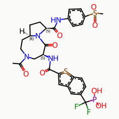 CC(=O)N1CC[C@H]2CC[C@@H](C(=O)Nc3ccc(S(C)(=O)=O)cc3)N2C(=O)[C@@H](NC(=O)c2cc3cc(C(F)(F)P(O)O)ccc3s2)C1